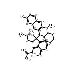 C=C(C)C/C=c1/c([C@](O)(CCN(C)C)[C@@H](C2=C(OC)N=C3C=CC(Br)=CC3C2)C2CCCCC2)ccc/c1=C/C